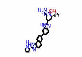 CC(C)[C@@H](CC(CCCN)c1nc2ccc(-c3ccc4c(ccc5nc([C@@H]6CCCN6)[nH]c54)c3)cc2[nH]1)NO